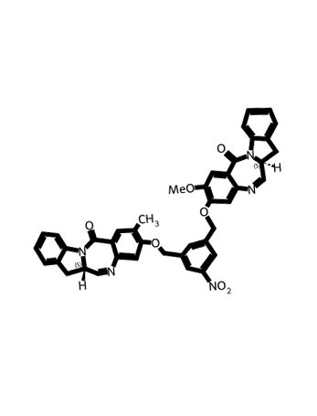 COc1cc2c(cc1OCc1cc(COc3cc4c(cc3C)C(=O)N3c5ccccc5C[C@H]3C=N4)cc([N+](=O)[O-])c1)N=C[C@@H]1Cc3ccccc3N1C2=O